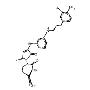 C=C1CCC(N2C(=O)C=C(Nc3cccc(NCCCc4ccc(C)c(Cl)c4)c3)C2=O)C(=O)N1